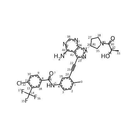 Cc1ccc(NC(=O)c2ccc(Cl)c(C(F)(F)F)c2)cc1C#Cc1nn([C@@H]2CCN(C(=O)[C@@H](C)O)C2)c2ncnc(N)c12